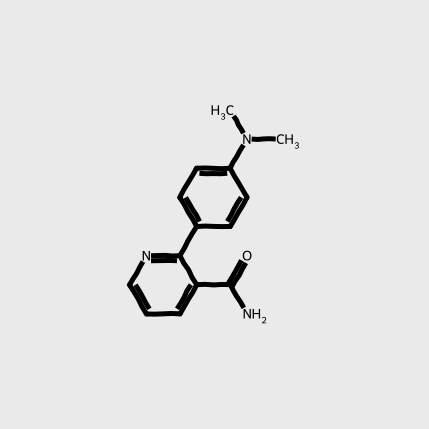 CN(C)c1ccc(-c2ncccc2C(N)=O)cc1